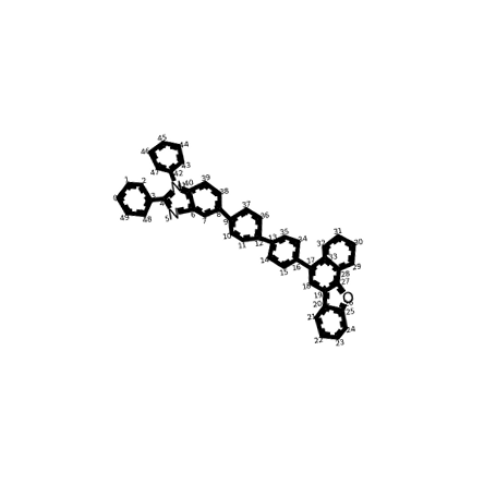 c1ccc(-c2nc3cc(-c4ccc(-c5ccc(-c6cc7c8ccccc8oc7c7ccccc67)cc5)cc4)ccc3n2-c2ccccc2)cc1